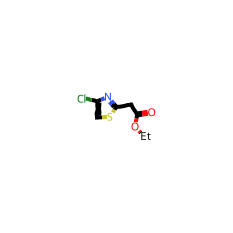 CCOC(=O)Cc1nc(Cl)cs1